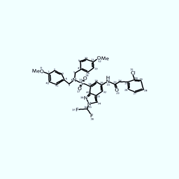 COc1ccc(CN(Cc2ccc(OC)cc2)S(=O)(=O)c2cc(NC(=O)Cc3ccccc3Cl)cc3cn(C(F)F)nc23)cc1